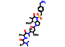 CCC(C)C(C(CC(=O)N1CCC[C@H]1C(OC)C(C)C(=O)NS(=O)(=O)Cc1ccc(CN)cc1)OC)N(C)C(=O)C(NC(=O)C(C(C)C)N(C)C)C(C)C